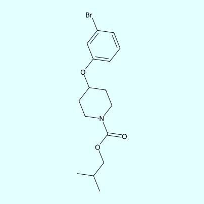 CC(C)COC(=O)N1CCC(Oc2cccc(Br)c2)CC1